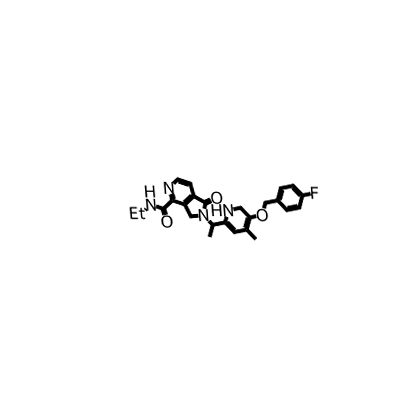 CCNC(=O)c1nccc2c1CN(C(C)C1=CC(C)=C(OCc3ccc(F)cc3)CN1)C2=O